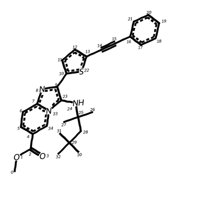 COC(=O)c1ccc2nc(-c3ccc(C#Cc4ccccc4)s3)c(NC(C)(C)CC(C)(C)C)n2c1